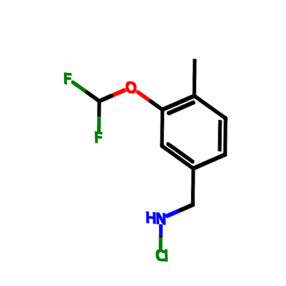 Cc1ccc(CNCl)cc1OC(F)F